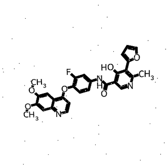 COc1cc2nccc(Oc3ccc(NC(=O)c4cnc(C)c(-c5ccco5)c4O)cc3F)c2cc1OC